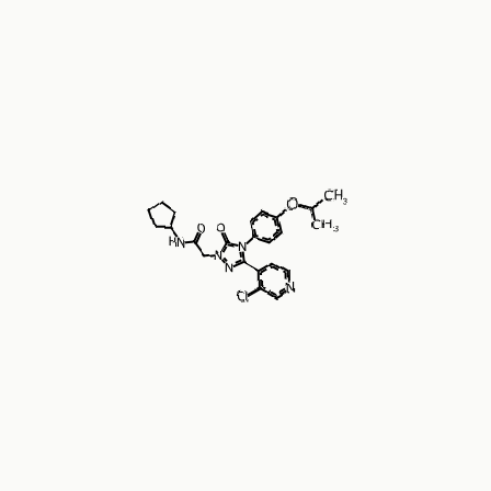 CC(C)Oc1ccc(-n2c(-c3ccncc3Cl)nn(CC(=O)NC3CCCC3)c2=O)cc1